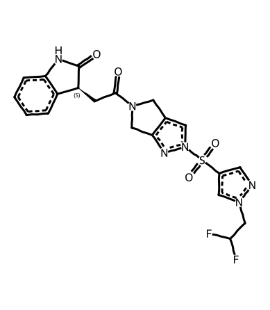 O=C1Nc2ccccc2[C@@H]1CC(=O)N1Cc2cn(S(=O)(=O)c3cnn(CC(F)F)c3)nc2C1